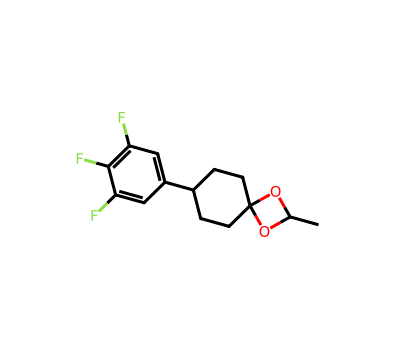 CC1OC2(CCC(c3cc(F)c(F)c(F)c3)CC2)O1